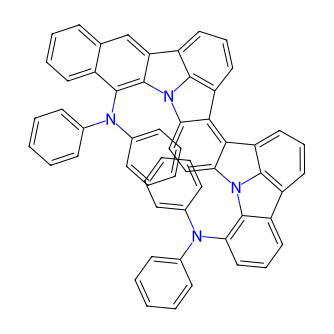 c1ccc(N(c2ccccc2)c2cccc3c4cccc5c6c7c8cccc9c%10cc%11ccccc%11c(N(c%11ccccc%11)c%11ccccc%11)c%10n(c7ccc6n(c23)c45)c98)cc1